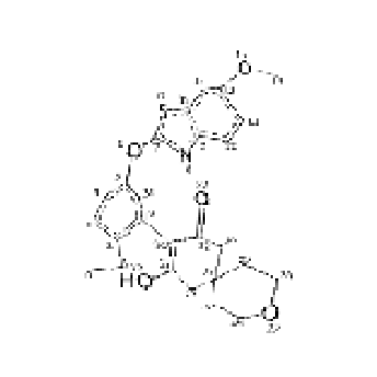 CCc1ccc(Oc2nc3ccc(OC)cc3s2)cc1C1=C(O)CC2(CCOCC2)CC1=O